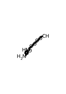 C#CCOCCOCCOCCOCCC(=O)Nc1ccc(CN)cc1